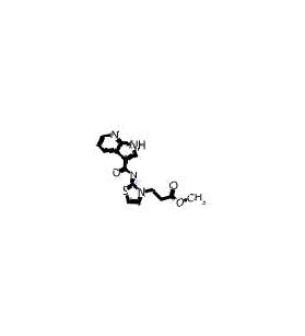 COC(=O)CCn1ccs/c1=N\C(=O)c1c[nH]c2ncccc12